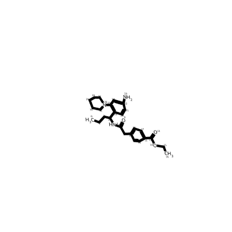 CCCC(NC(=O)Cc1ccc(C(=O)OCC)cc1)c1ccc(N)cc1N1CCCCC1